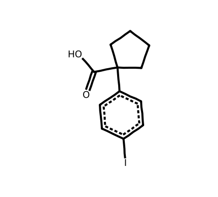 O=C(O)C1(c2ccc(I)cc2)CCCC1